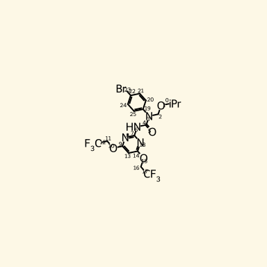 CC(C)OCN(C(=O)Nc1nc(OCC(F)(F)F)cc(OCC(F)(F)F)n1)c1ccc(Br)cc1